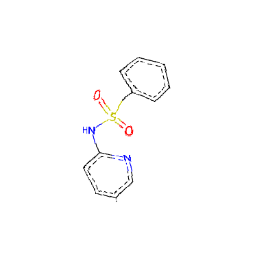 O=S(=O)(Nc1cc[c]cn1)c1ccccc1